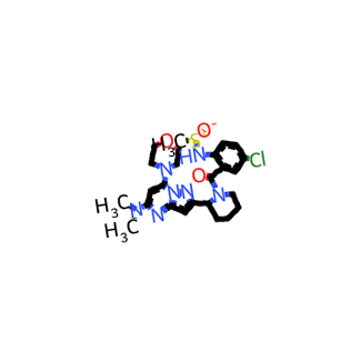 CN(C)c1cc(N2CCOCC2)n2nc(C3CCCCN3C(=O)c3cc(Cl)ccc3N[S+](C)[O-])cc2n1